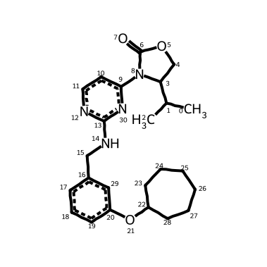 CC(C)C1COC(=O)N1c1ccnc(NCc2cccc(OC3CCCCCC3)c2)n1